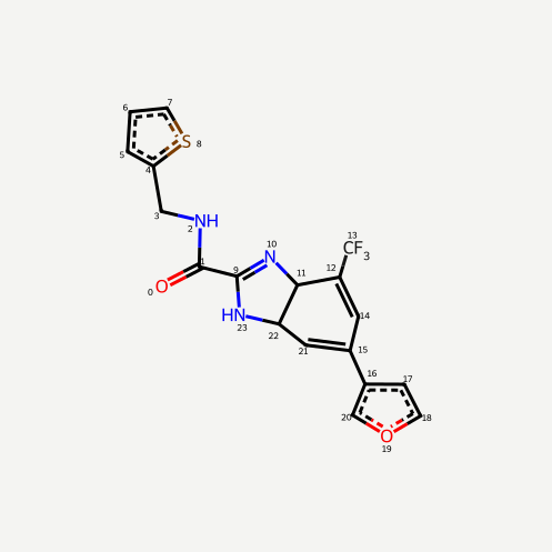 O=C(NCc1cccs1)C1=NC2C(C(F)(F)F)=CC(c3ccoc3)=CC2N1